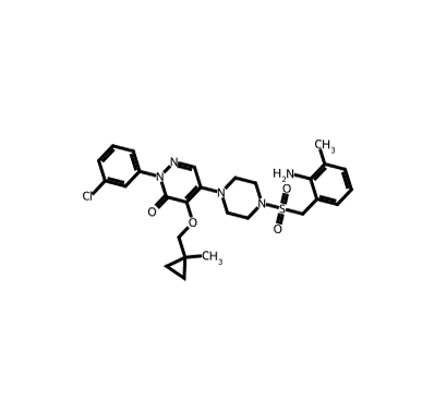 Cc1cccc(CS(=O)(=O)N2CCN(c3cnn(-c4cccc(Cl)c4)c(=O)c3OCC3(C)CC3)CC2)c1N